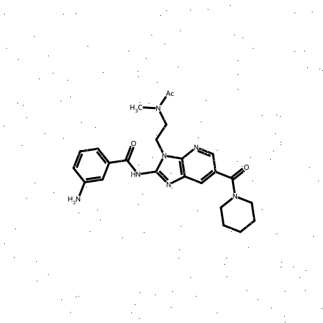 CC(=O)N(C)CCn1c(NC(=O)c2cccc(N)c2)nc2cc(C(=O)N3CCCCC3)cnc21